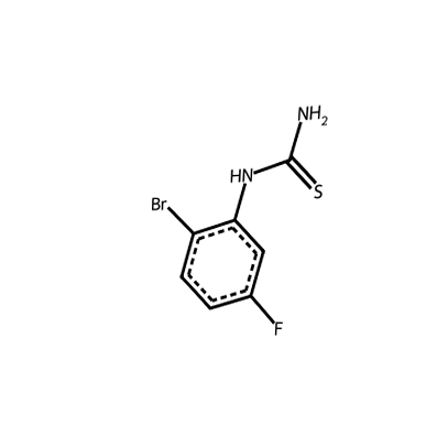 NC(=S)Nc1cc(F)ccc1Br